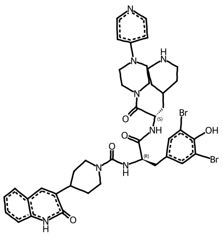 O=C(N[C@@H](CC1CCNCC1)C(=O)N1CCN(c2ccncc2)CC1)[C@@H](Cc1cc(Br)c(O)c(Br)c1)NC(=O)N1CCC(c2cc3ccccc3[nH]c2=O)CC1